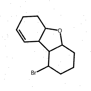 BrC1CCCC2OC3CCC=CC3C12